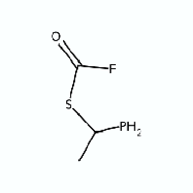 CC(P)SC(=O)F